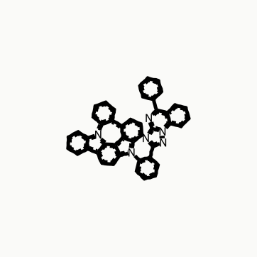 c1ccc(-c2nc3nc(-c4ccccc4-n4c5cccc6c7ccccc7n7c8ccccc8c8ccc4c(c65)c87)nn3c3ccccc23)cc1